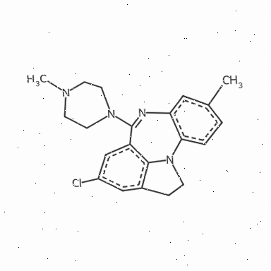 Cc1ccc2c(c1)N=C(N1CCN(C)CC1)c1cc(Cl)cc3c1N2CC3